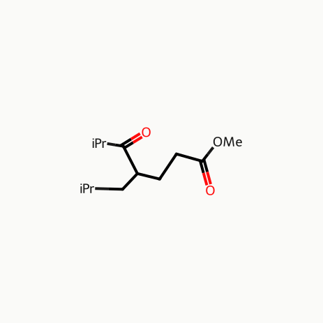 COC(=O)CCC(CC(C)C)C(=O)C(C)C